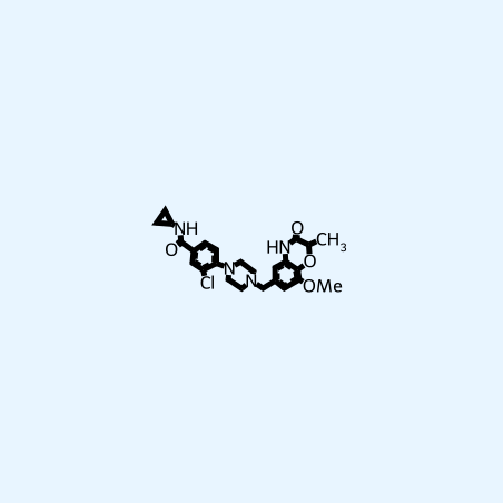 COc1cc(CN2CCN(c3ccc(C(=O)NC4CC4)cc3Cl)CC2)cc2c1OC(C)C(=O)N2